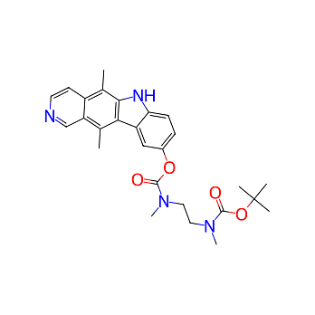 Cc1c2ccncc2c(C)c2c1[nH]c1ccc(OC(=O)N(C)CCN(C)C(=O)OC(C)(C)C)cc12